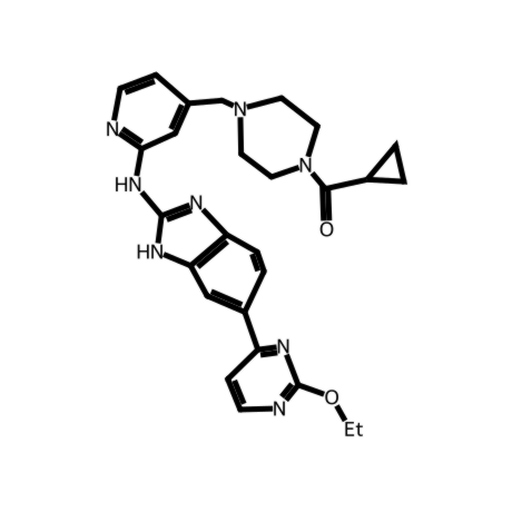 CCOc1nccc(-c2ccc3nc(Nc4cc(CN5CCN(C(=O)C6CC6)CC5)ccn4)[nH]c3c2)n1